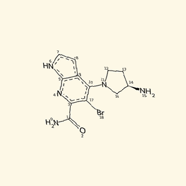 NC(=O)c1nc2[nH]c[c]c2c(N2CC[C@@H](N)C2)c1Br